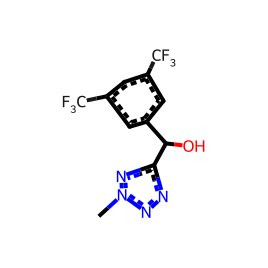 Cn1nnc(C(O)c2cc(C(F)(F)F)cc(C(F)(F)F)c2)n1